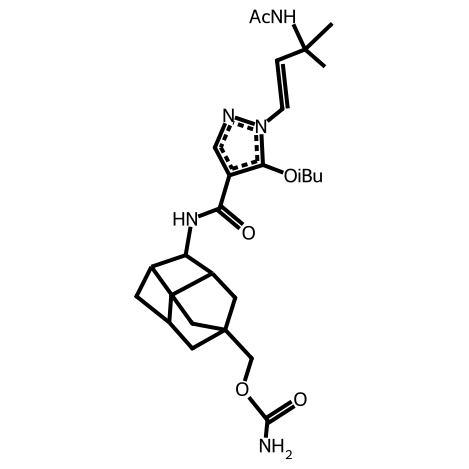 CC(=O)NC(C)(C)/C=C/n1ncc(C(=O)NC2C3CC4CC2CC(COC(N)=O)(C4)C3)c1OCC(C)C